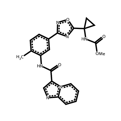 COC(=O)NC1(c2nc(-c3ccc(C)c(NC(=O)c4cnc5ccccn45)c3)no2)CC1